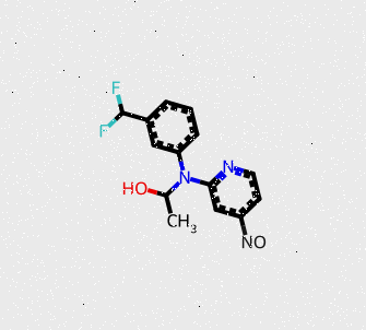 CC(O)N(c1cccc(C(F)F)c1)c1cc(N=O)ccn1